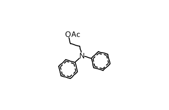 CC(=O)OCCN(c1ccccc1)c1ccccc1